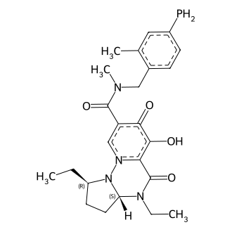 CC[C@@H]1CC[C@H]2N(CC)C(=O)c3c(O)c(=O)c(C(=O)N(C)Cc4ccc(P)cc4C)cn3N12